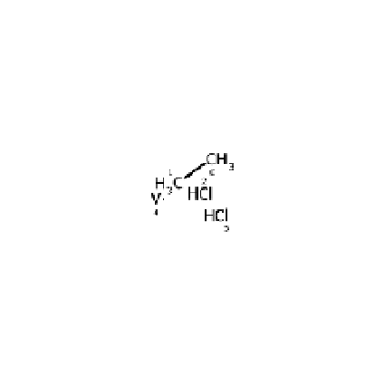 CC.Cl.Cl.[V]